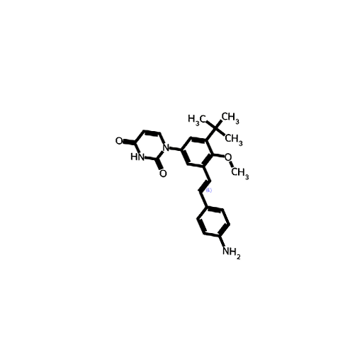 COc1c(/C=C/c2ccc(N)cc2)cc(-n2ccc(=O)[nH]c2=O)cc1C(C)(C)C